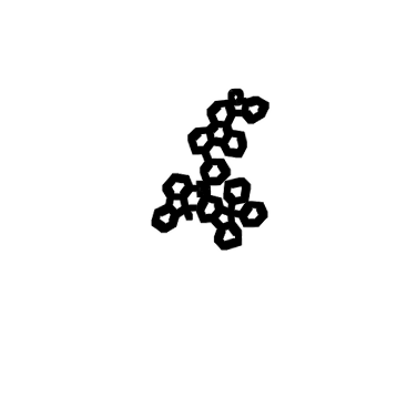 CC1(C)c2ccccc2-c2cccc(N(c3cccc(-c4cccc5c6ccc7oc8ccccc8c7c6c6ccccc6c45)c3)c3ccc4c(c3)C(c3ccccc3)(c3ccccc3)c3ccccc3-4)c21